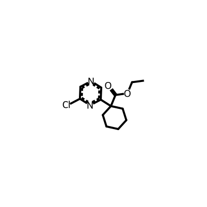 CCOC(=O)C1(c2cncc(Cl)n2)CCCCC1